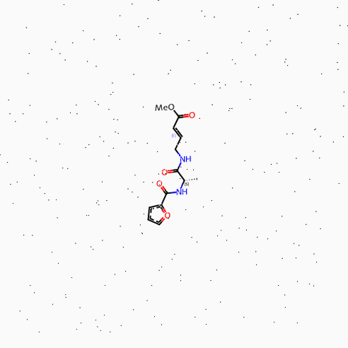 COC(=O)/C=C/CNC(=O)[C@H](C)NC(=O)c1ccco1